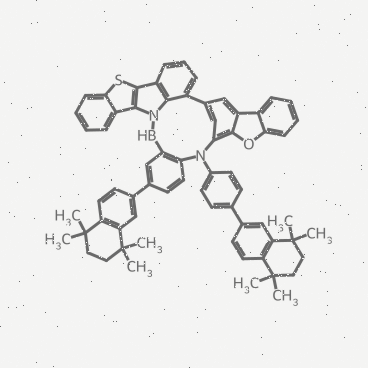 CC1(C)CCC(C)(C)c2cc(-c3ccc(N4c5ccc(-c6ccc7c(c6)C(C)(C)CCC7(C)C)cc5Bn5c6c(cccc6c6sc7ccccc7c65)-c5cc4c4oc6ccccc6c4c5)cc3)ccc21